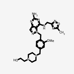 COc1cc(CN2CCN(CCO)CC2)ccc1Cn1ncc2nc(N)nc(NCc3noc(C)n3)c21